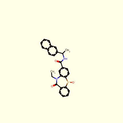 CCN1C(=O)c2ccccc2[S+]([O-])c2ccc(C(=O)NC(C)c3ccc4ccccc4c3)cc21